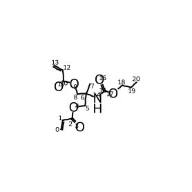 C=CC(=O)OCC(C)(COC(=O)C=C)NC(=O)OCCC